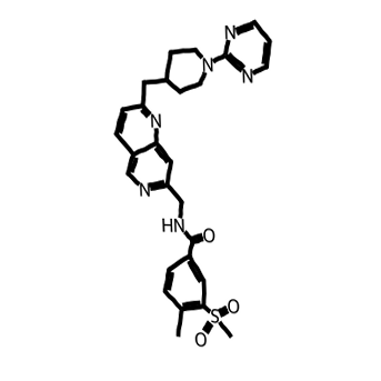 Cc1ccc(C(=O)NCc2cc3nc(CC4CCN(c5ncccn5)CC4)ccc3cn2)cc1S(C)(=O)=O